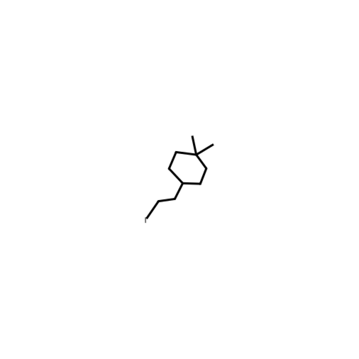 CC1(C)CCC(CCI)CC1